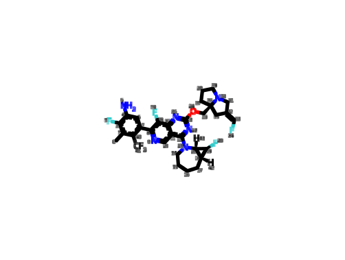 Cc1c(F)c(N)cc(-c2ncc3c(N4CCCC[C@H]5[C@H](F)[C@H]54)nc(OC[C@@]45CCCN4C/C(=C/F)C5)nc3c2F)c1C(F)(F)F